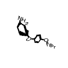 CCCOc1ccc(Oc2ccc(N)cc2)cc1